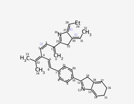 C=C(/C=C\C(C=Cc1ccc(C2=NC3=CCCC=C3C2)cc1)=C(C)C)C1=NC(=C/CC)/C(=C\C)C1